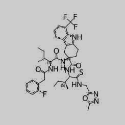 CCC(C)[C@H](NC(=O)Cc1ccccc1F)C(=O)N[C@]1(C(=O)NC(C(=S)NCc2nnc(C)o2)[C@@H](C)CC)CCc2[nH]c3c(C(F)(F)F)cccc3c2C1